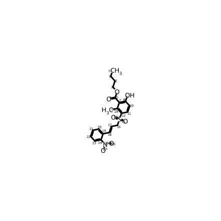 CCCCOC(=O)c1c(O)ccc(S(=O)(=O)CC=Cc2ccccc2[N+](=O)[O-])c1C